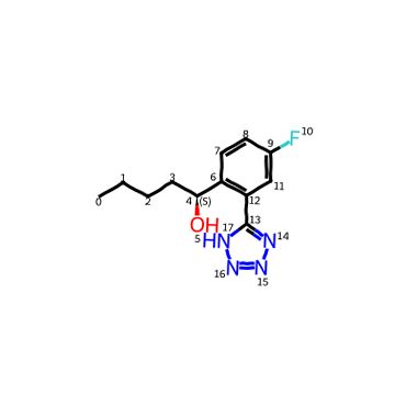 CCCC[C@H](O)c1ccc(F)cc1-c1nnn[nH]1